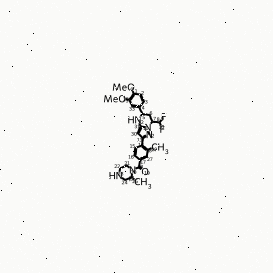 COc1ccc(C2CC(C(F)F)n3nc(-c4ccc(C(=O)N5CCNC[C@@H]5C)cc4C)cc3N2)cc1OC